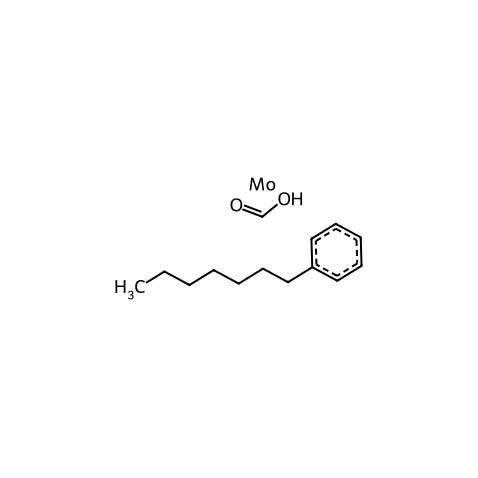 CCCCCCCc1ccccc1.O=CO.[Mo]